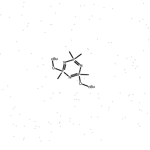 CCCCOP1(C)=NP(C)(C)=NP(C)(OCCCC)=N1